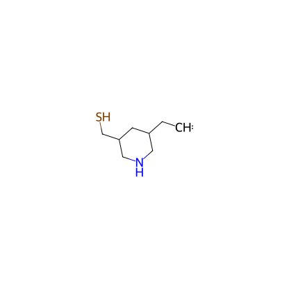 [CH]CC1CNCC(CS)C1